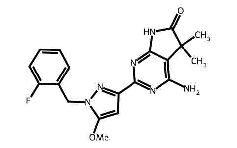 COc1cc(-c2nc(N)c3c(n2)NC(=O)C3(C)C)nn1Cc1ccccc1F